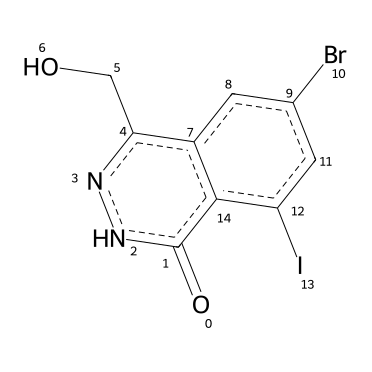 O=c1[nH]nc(CO)c2cc(Br)cc(I)c12